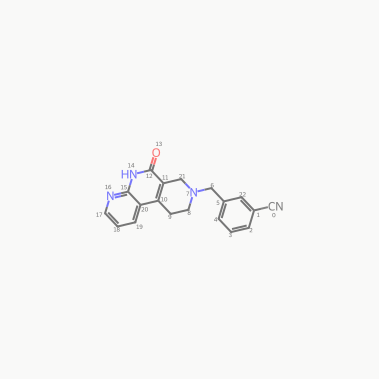 N#Cc1cccc(CN2CCc3c(c(=O)[nH]c4ncccc34)C2)c1